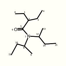 CCC(CC)C(=O)N(C(C)CC)C(C)CC